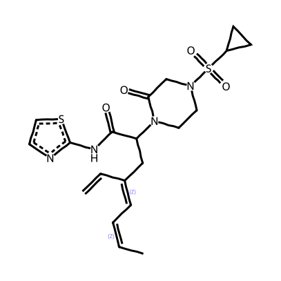 C=C/C(=C\C=C/C)CC(C(=O)Nc1nccs1)N1CCN(S(=O)(=O)C2CC2)CC1=O